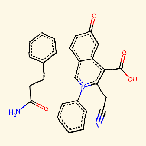 N#CCc1c(C(=O)O)c2cc(=O)ccc-2cn1-c1ccccc1.NC(=O)CCc1ccccc1